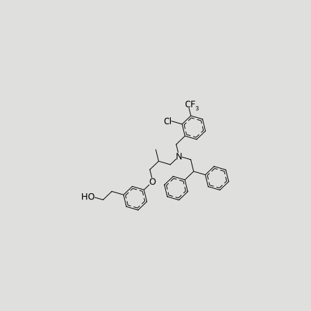 CC(COc1cccc(CCO)c1)CN(Cc1cccc(C(F)(F)F)c1Cl)CC(c1ccccc1)c1ccccc1